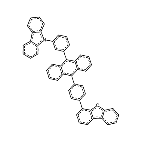 c1cc(-c2c3ccccc3c(-c3ccc(-c4cccc5c4oc4ccccc45)cc3)c3ccccc23)cc(-n2c3ccccc3c3ccccc32)c1